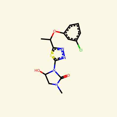 CC(Oc1cccc(Cl)c1)c1nnc(N2C(=O)N(C)CC2O)s1